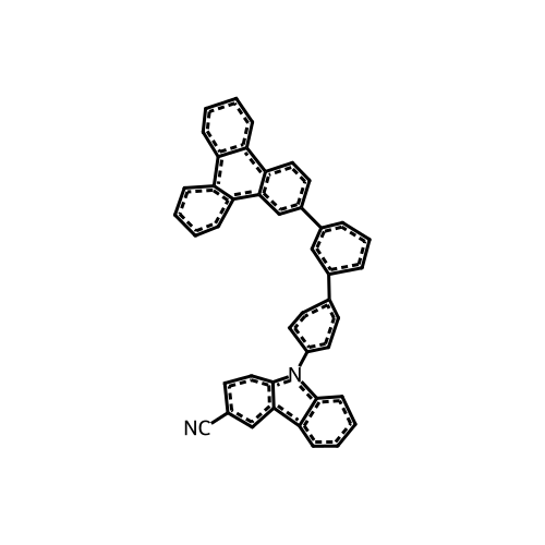 N#Cc1ccc2c(c1)c1ccccc1n2-c1ccc(-c2cccc(-c3ccc4c5ccccc5c5ccccc5c4c3)c2)cc1